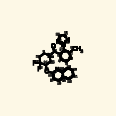 Cc1cccc(C(=O)N2CCC(F)(F)C(Oc3ccc4ccccc4n3)C2)c1-n1nccn1